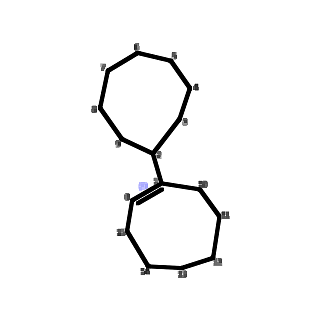 C1=C(/C2CCCCCCC2)CCCCCC/1